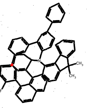 CC1(C)c2ccccc2-c2c(N(c3ccc(-c4ccccc4)cc3-c3ccccc3)C3CC=CC=C3c3cccc4cccc(-c5ccccc5F)c34)cccc21